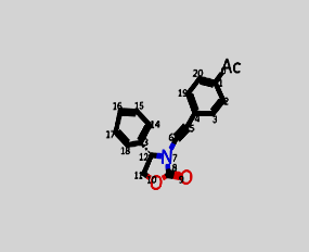 CC(=O)c1ccc(C#CN2C(=O)OC[C@@H]2c2ccccc2)cc1